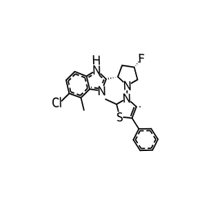 Cc1c(Cl)ccc2[nH]c([C@@H]3C[C@H](F)CN3N3[C]=C(c4ccccc4)SC3C)nc12